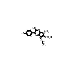 CCc1nc2c(nc1-c1ccc(F)cc1)c(OCC(F)(F)F)c(C(=O)O)n2C